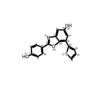 Oc1ccc(-c2nc3cc(O)cc(-c4cccs4)c3o2)cc1